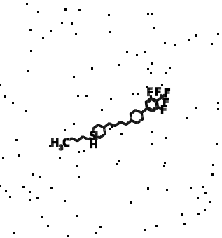 CCCCC[SiH]1CCC(CCCCC2CCC(c3cc(F)c(C(F)(F)F)c(F)c3)CC2)CC1